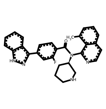 Cc1cccc2ccnc(N(C(=O)c3ccc(-c4n[nH]c5ccccc45)cc3F)[C@@H]3CCCNC3)c12